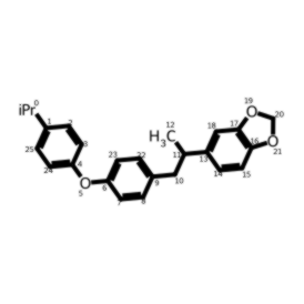 CC(C)c1ccc(Oc2ccc(CC(C)c3ccc4c(c3)OCO4)cc2)cc1